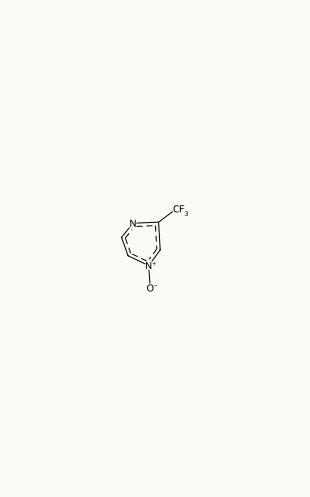 [O-][n+]1ccnc(C(F)(F)F)c1